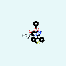 CN1C[C@H](C2c3ccccc3CSc3ccccc32)n2cc(C(=O)O)c(=O)c(OCc3ccccc3)c2C1=O